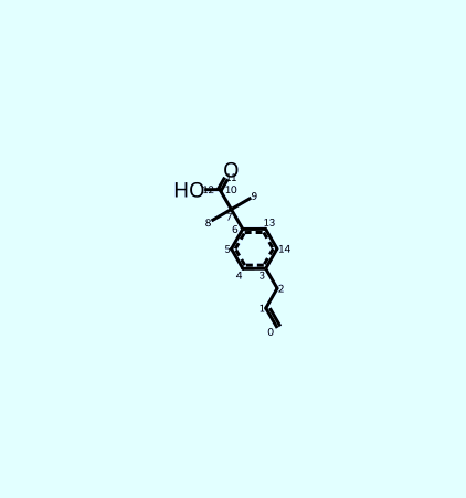 C=CCc1ccc(C(C)(C)C(=O)O)cc1